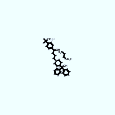 CC(C)(C(=O)O)c1ccc(C(O)CCCN2CCC(C(O)(c3ccccc3)c3ccccc3)CC2)cc1.NCCS(=O)(=O)O